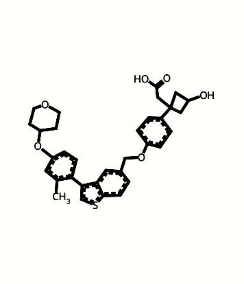 Cc1cc(OC2CCOCC2)ccc1-c1csc2ccc(COc3ccc(C4(CC(=O)O)CC(O)C4)cc3)cc12